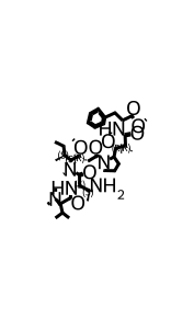 CC[C@H](C)[C@@H]([C@@H](CC(=O)N1CCCC1[C@H](OC)[C@@H](C)C(=O)NC(Cc1ccccc1)C(=O)OC)OC)N(C)C(=O)[C@@H](NC(=O)C(C(C)C)N(C)C)[C@H](C)N